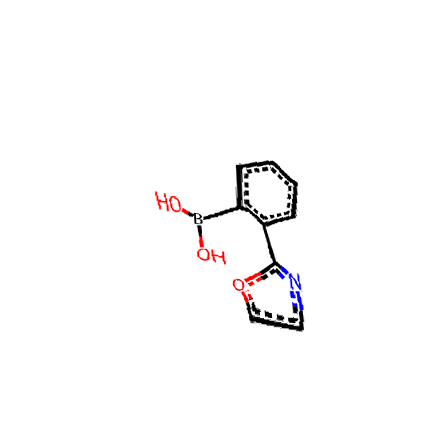 OB(O)c1ccccc1-c1ncco1